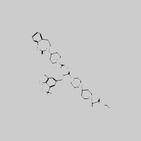 CCOC(=O)C(C)N1CCC(N2CCN(C(=O)[C@@H](Cc3cc(Cl)c(N)c(C(F)(F)F)c3)OC(=O)N3CCC(N4CCc5ccccc5NC4=O)CC3)CC2)CC1